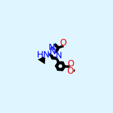 COC(=O)c1cccc(-c2cc(NC3CC3)n3ncc(C=O)c3n2)c1